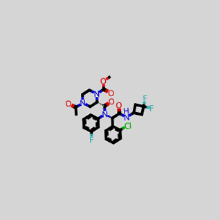 COC(=O)N1CCN(C(C)=O)C[C@H]1C(=O)N(c1cccc(F)c1)[C@@H](C(=O)NC1CC(F)(F)C1)c1ccccc1Cl